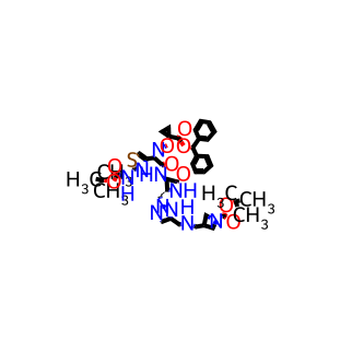 CC(C)(C)OC(=O)Nc1nc(C(=NOC2(C(=O)OC(c3ccccc3)c3ccccc3)CC2)C(=O)N[C@@H]2C(=O)N[C@@H]2Cn2ncc(CNCC3CN(C(=O)OC(C)(C)C)C3)n2)cs1